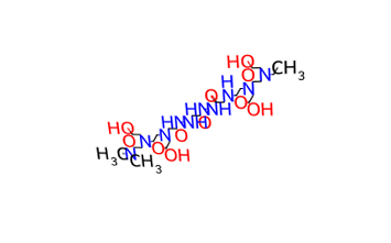 CCN(CCN(CCNCC(=O)NNC(=O)CNNC(=O)CN(CCN(CCN(C)C)CC(=O)O)CC(=O)O)CC(=O)O)CC(=O)O